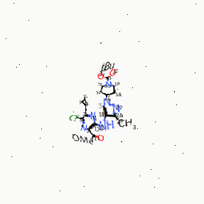 COC(=O)c1nc(Cl)c(C2CC2)nc1Nc1cn(C2CCN(C(=O)OC(C)(C)C)CC2)nc1C